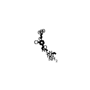 CCc1nc(N)nc(SCc2ncc(-c3ccc(OCCCS(C)(=O)=O)c(Cl)c3)o2)n1